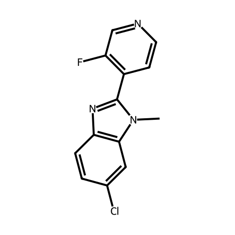 Cn1c(-c2ccncc2F)nc2ccc(Cl)cc21